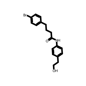 O=C(CCCc1ccc(Br)cc1)Nc1ccc(CCO)cc1